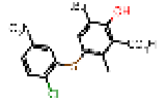 Cc1c(Sc2cc([N+](=O)[O-])ccc2Cl)cc(C(C)(C)C)c(O)c1C(=O)O